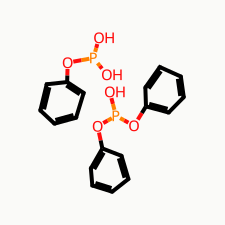 OP(O)Oc1ccccc1.OP(Oc1ccccc1)Oc1ccccc1